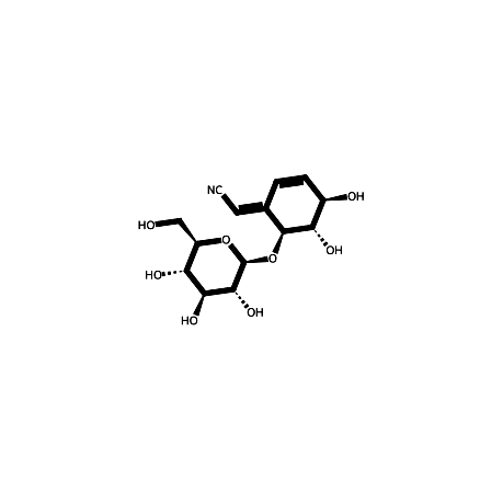 N#C/C=C1\C=C[C@@H](O)[C@H](O)[C@H]1O[C@@H]1O[C@H](CO)[C@@H](O)[C@H](O)[C@H]1O